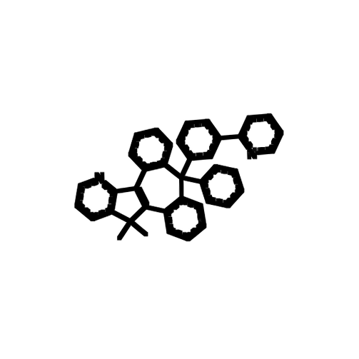 CC1(C)C2=C(c3ccccc3C(c3ccccc3)(c3cccc(-c4ccccn4)c3)c3ccccc32)c2ncccc21